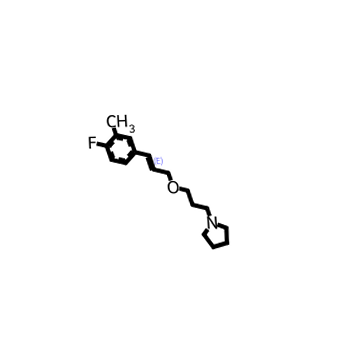 Cc1cc(/C=C/COCCCN2CCCC2)ccc1F